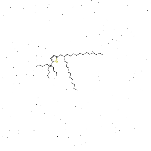 CCCCCCCCCCCCC(CCCCCCCCCCCC)Cc1cc[c]([Sn]([CH2]CCC)([CH2]CCC)[CH2]CCC)s1